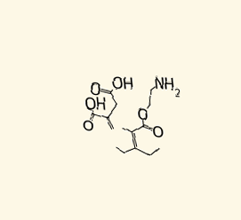 C=C(CC(=O)O)C(=O)O.CCC(CC)=C(C)C(=O)OCCN